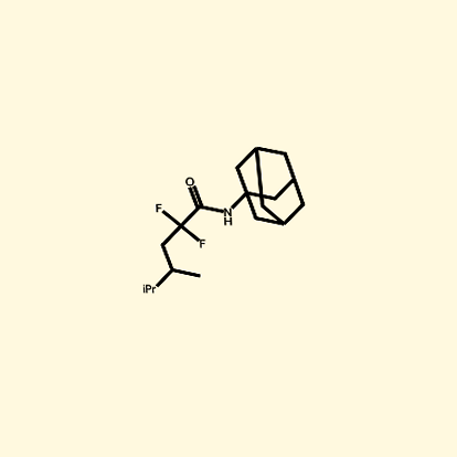 CC(C)C(C)CC(F)(F)C(=O)NC12CC3CC(CC(C3)C1)C2